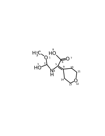 COC(O)NC(C(=O)O)=C1CCOCC1